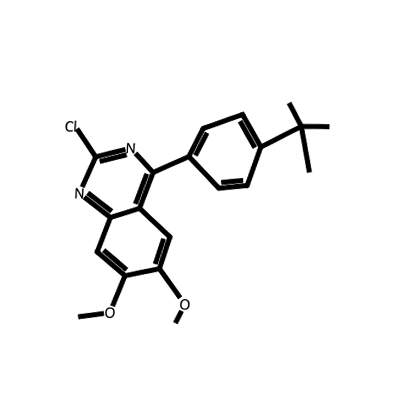 COc1cc2nc(Cl)nc(-c3ccc(C(C)(C)C)cc3)c2cc1OC